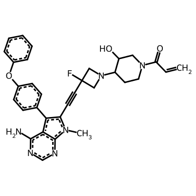 C=CC(=O)N1CCC(N2CC(F)(C#Cc3c(-c4ccc(Oc5ccccc5)cc4)c4c(N)ncnc4n3C)C2)C(O)C1